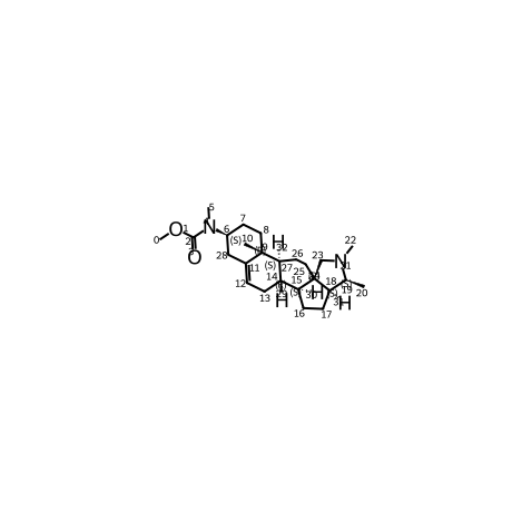 COC(=O)N(C)[C@H]1CC[C@@]2(C)C(=CC[C@H]3[C@@H]4CC[C@@H]5[C@H](C)N(C)C[C@@]54CC[C@@H]32)C1